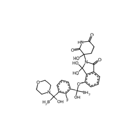 BC(O)(Oc1cccc2c1C(O)(O)N(C1(O)CCC(=O)NC1=O)C2=O)c1cccc(C(B)(O)N2CCOCC2)c1F